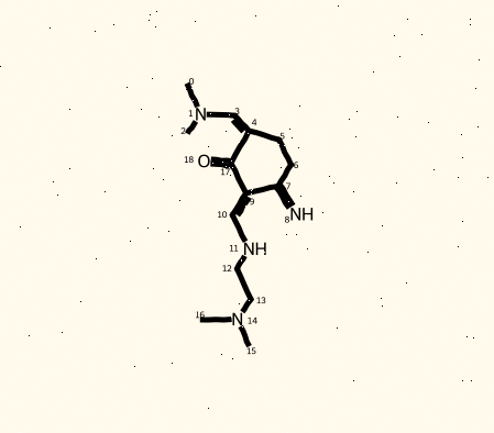 CN(C)/C=C1/CCC(=N)/C(=C\NCCN(C)C)C1=O